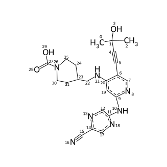 CC(C)(O)C#Cc1cnc(Nc2cnc(C#N)cn2)cc1NCC1CCN(C(=O)O)CC1